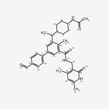 CC(=O)NC1CCC(N(C)c2cc(-c3ccc(C=O)nc3)cc(C(=O)NCc3c(C)cc(C)[nH]c3=O)c2C)CC1